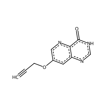 C#CCOc1cnc2c(=O)[nH]cnc2c1